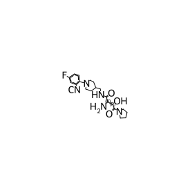 N#Cc1cc(F)ccc1N1CCC(CNC(=O)[C@H](N)[C@@H](O)C(=O)N2CCCC2)CC1